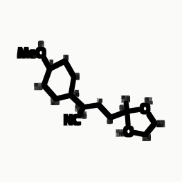 COC1CCC(C(C#N)CCC2(C)OCCO2)CC1